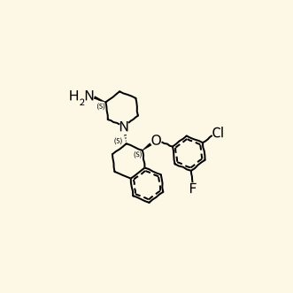 N[C@H]1CCCN([C@H]2CCc3ccccc3[C@@H]2Oc2cc(F)cc(Cl)c2)C1